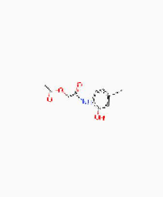 CC(=O)OCC(=O)Nc1ccc(C)cc1O